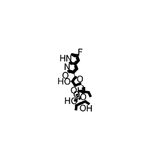 CCC(C)(C[C@H]1O[C@@H](c2cc3cc(F)c[nH]c-3nc2=O)[C@@H](O)C1O)OP(=O)(O)C(O)(CC)CC